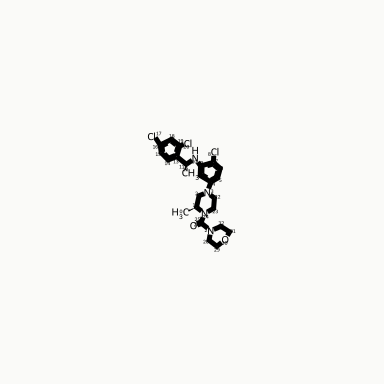 C[C@@H]1CN(c2ccc(Cl)c(N[C@H](C)c3ccc(Cl)cc3Cl)c2)CCN1C(=O)N1CCOCC1